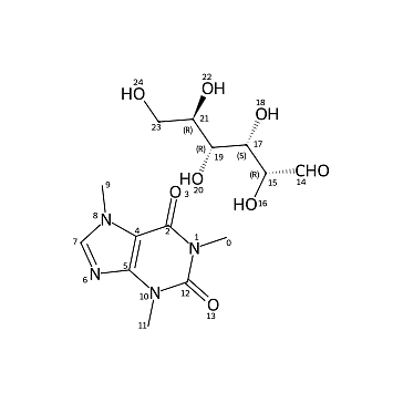 Cn1c(=O)c2c(ncn2C)n(C)c1=O.O=C[C@H](O)[C@@H](O)[C@H](O)[C@H](O)CO